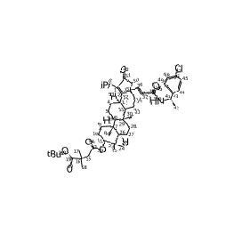 CC(C)C1=C2[C@H]3CC[C@@H]4[C@@]5(C)CC[C@H](OC(=O)CC(C)(C)C(=O)OC(C)(C)C)C(C)(C)[C@@H]5CC[C@@]4(C)[C@]3(C)CC[C@@]2(C=CC(=O)N[C@H](C)c2ccc(Cl)cc2)CC1=O